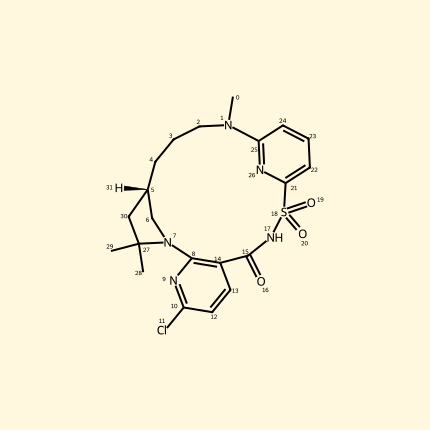 CN1CCC[C@@H]2CN(c3nc(Cl)ccc3C(=O)NS(=O)(=O)c3cccc1n3)C(C)(C)C2